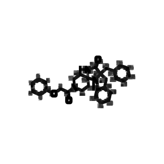 O=C(COc1ccccc1)N1CCC2(CC1)NC(=O)C(Cc1ccccc1)(Cc1ccccc1)N2